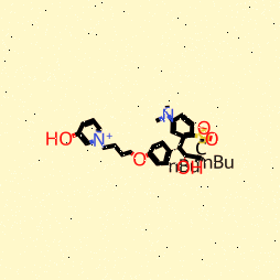 CCCCC1(CCCC)CS(=O)(=O)c2ccc(N(C)C)cc2[C@@H](c2ccc(OCCCC[n+]3cccc(O)c3)cc2)[C@H]1O